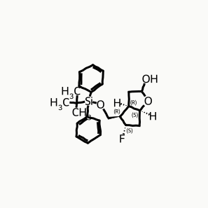 CC(C)(C)[Si](OC[C@H]1[C@H]2CC(O)O[C@H]2C[C@@H]1F)(c1ccccc1)c1ccccc1